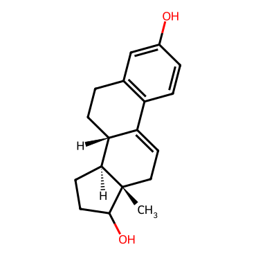 C[C@]12CC=C3c4ccc(O)cc4CC[C@H]3[C@@H]1CCC2O